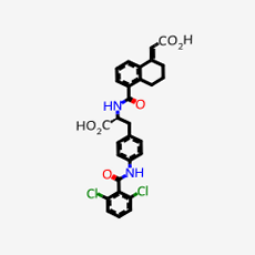 O=C(O)C=C1CCCc2c(C(=O)N[C@@H](Cc3ccc(NC(=O)c4c(Cl)cccc4Cl)cc3)C(=O)O)cccc21